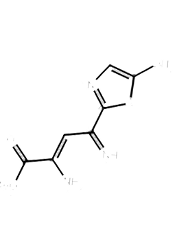 Bc1cnc(C(=N)/C=C(\N)C(=O)OC)s1